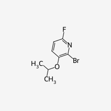 CC(C)Oc1ccc(F)nc1Br